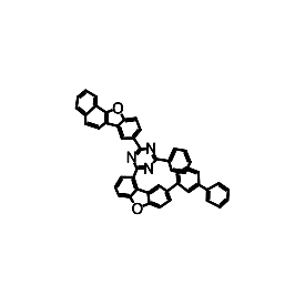 c1ccc(-c2cccc(-c3ccc4oc5cccc(-c6nc(-c7ccccc7)nc(-c7ccc8oc9c%10ccccc%10ccc9c8c7)n6)c5c4c3)c2)cc1